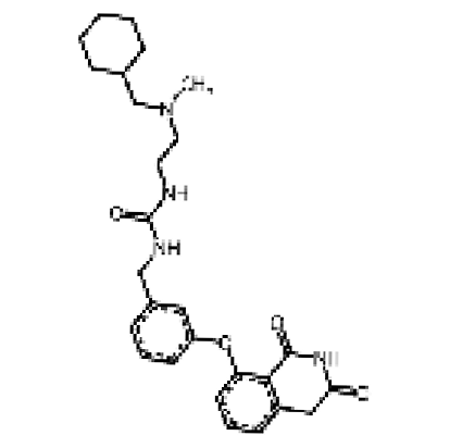 CN(CCNC(=O)NCc1cccc(Oc2cccc3c2C(=O)NC(=O)C3)c1)CC1CCCCC1